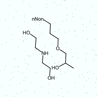 CCCCCCCCCCCCOCC(C)O.OCCNCCO